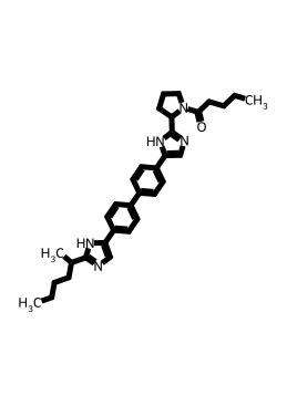 CCCCC(=O)N1CCCC1c1ncc(-c2ccc(-c3ccc(-c4cnc(C(C)CCCC)[nH]4)cc3)cc2)[nH]1